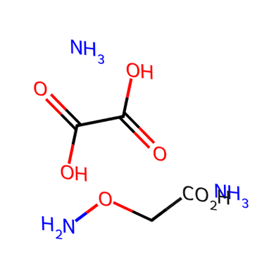 N.N.NOCC(=O)O.O=C(O)C(=O)O